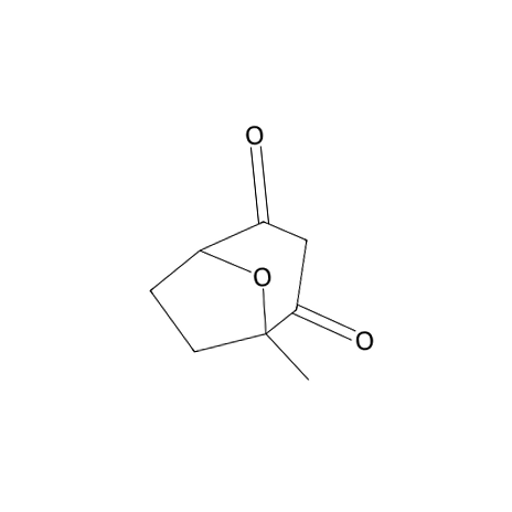 CC12CCC(O1)C(=O)CC2=O